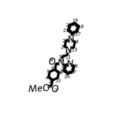 COC(=O)C1CCC(C(=O)N(CCN2CCN(c3ccccc3)CC2)c2ccccn2)CC1